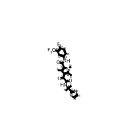 Cc1c(C(=O)C(=O)NC(C)(C)c2nccs2)c(C)n(C)c1C(=O)Nc1ccc(F)c(C(F)(F)F)c1